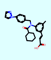 Cc1cc(C=CC(=O)O)cc(N(Cc2ccc(-n3cccn3)cc2)C(=O)C2CCCCC2)c1